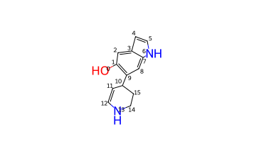 Oc1cc2cc[nH]c2cc1C1C=CNCC1